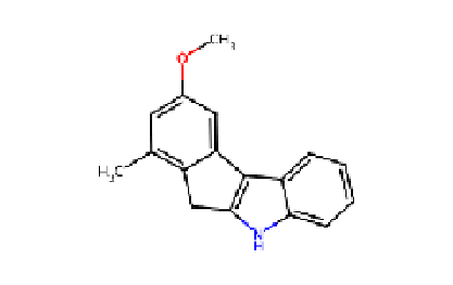 COc1cc(C)c2c(c1)-c1c([nH]c3ccccc13)C2